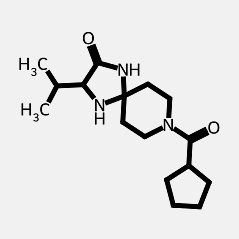 CC(C)C1NC2(CCN(C(=O)C3CCCC3)CC2)NC1=O